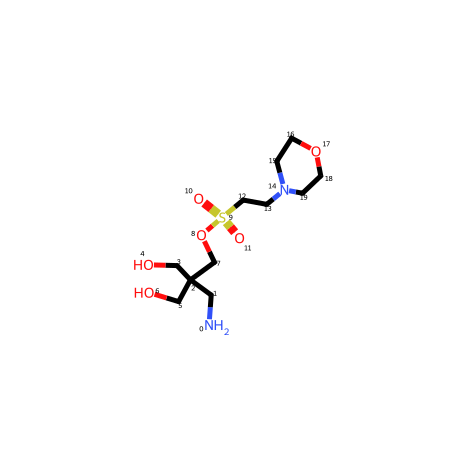 NCC(CO)(CO)COS(=O)(=O)CCN1CCOCC1